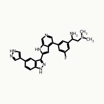 CN(C)CC(N)c1cc(F)cc(-c2cncc3[nH]c(-c4n[nH]c5ccc(-c6cn[nH]c6)cc45)cc23)c1